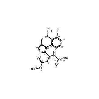 Cc1noc([C@H](CC(=O)OC(C)(C)C)N[S@@+]([O-])C(C)(C)C)c1-c1ccnc(F)c1CO